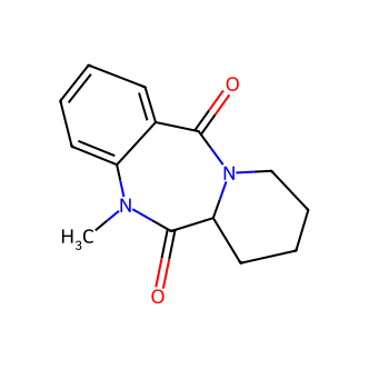 CN1C(=O)C2CCCCN2C(=O)c2ccccc21